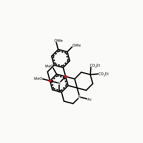 CCOC(=O)C1(C(=O)OCC)CCC2(c3cc(OC)c(OC)cc3CCN2C(C)=O)C(C2c3cc(OC)c(OC)cc3CCN2C)C1